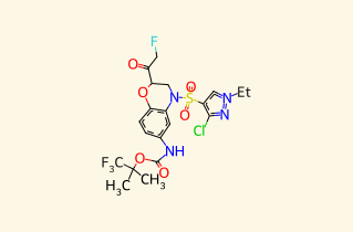 CCn1cc(S(=O)(=O)N2CC(C(=O)CF)Oc3ccc(NC(=O)OC(C)(C)C(F)(F)F)cc32)c(Cl)n1